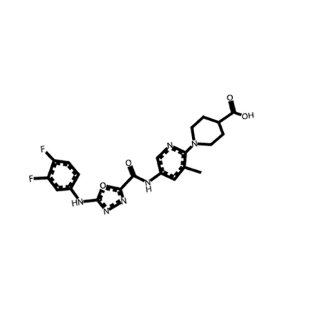 Cc1cc(NC(=O)c2nnc(Nc3ccc(F)c(F)c3)o2)cnc1N1CCC(C(=O)O)CC1